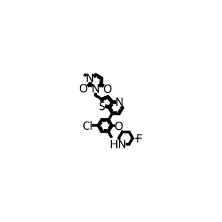 Cc1cc(Cl)cc(-c2ccnc3cc(Cn4c(=O)ccn(C)c4=O)sc23)c1O[C@@H]1CNC[C@@H](F)C1